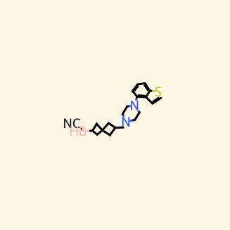 N#CBC1CC2(C1)CC(CN1CCN(c3cccc4sccc34)CC1)C2